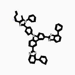 C=C/C=C\c1nc(-c2ccc(-n3c4ccc(-c5nc6cccc(-c7ccccc7)c6s5)cc4c4cc(-c5nc6cccc(-c7ccccc7)c6s5)ccc43)cc2)n(-c2ccccc2)c1C